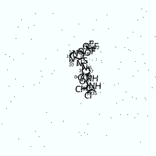 CO[C@H]1CN(c2nc(-c3n(C)cc[n+]3C)c(C(=O)OC(=O)C(F)(F)F)s2)CC[C@H]1NC(=O)c1[nH]c(C)c(Cl)c1Cl